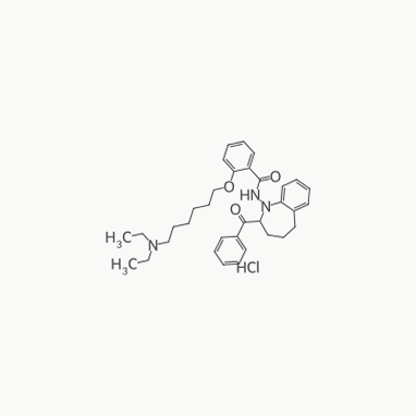 CCN(CC)CCCCCCOc1ccccc1C(=O)NN1c2ccccc2CCCC1C(=O)c1ccccc1.Cl